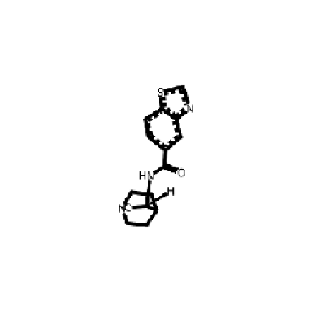 O=C(N[C@H]1CN2CCC1CC2)c1ccc2scnc2c1